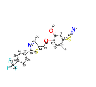 COc1cc(SC#N)c(C)cc1OCC1SC(c2ccc(C(F)(F)F)cc2)=NC1C